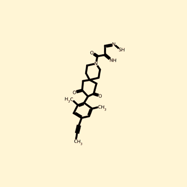 CC#Cc1cc(C)c(C2C(=O)CC3(CCN(C(=O)C(=N)/C=N\S)CC3)CC2=O)c(C)c1